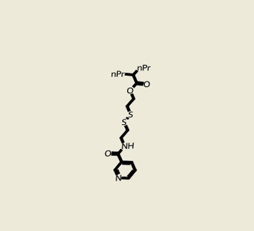 CCCC(CCC)C(=O)OCCSSCCNC(=O)c1cccnc1